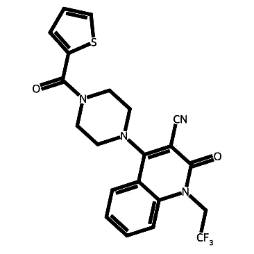 N#Cc1c(N2CCN(C(=O)c3cccs3)CC2)c2ccccc2n(CC(F)(F)F)c1=O